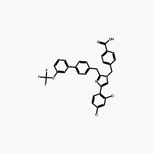 O=C(O)c1ccc(Cn2cc(-c3ccc(Cl)cc3Cl)nc2Cc2ccc(-c3cccc(OC(F)(F)F)c3)cc2)cc1